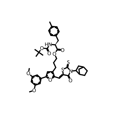 COc1cc(OC)cc(-c2cc(CCCOC(=O)[C@H](Cc3ccc(C)cc3)NC(=O)OC(C)(C)C)c(/C=C3\SC(=S)N(C4CC5CCC4C5)C3=O)o2)c1